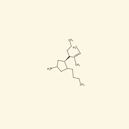 C/C=C(/C)C(CCC)[C@@H]1CC(N)CC1CCCC